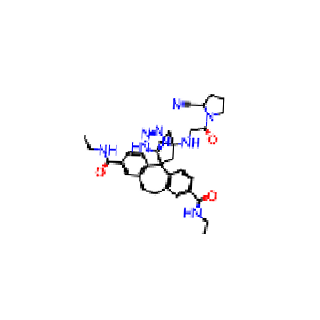 CCNC(=O)c1ccc2c(c1)CCc1cc(C(=O)NCC)ccc1C2(CC1(NCC(=O)N2CCCC2C#N)CC1)c1nnn[nH]1